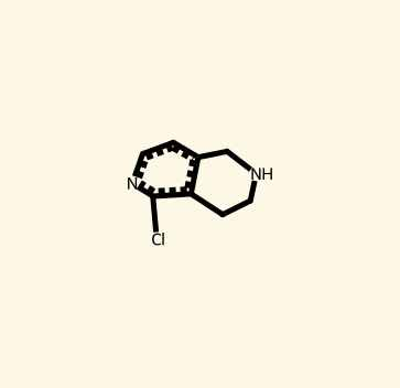 Clc1nccc2c1CCNC2